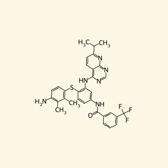 Cc1c(N)ccc(Sc2ccc(NC(=O)c3cccc(C(F)(F)F)c3)cc2Nc2ncnc3nc(C(C)C)ccc23)c1C